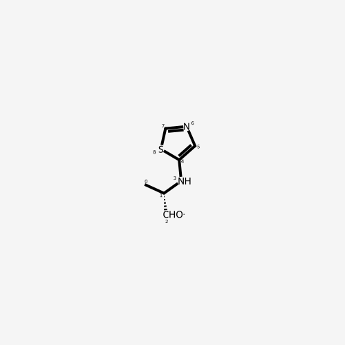 C[C@@H]([C]=O)Nc1cncs1